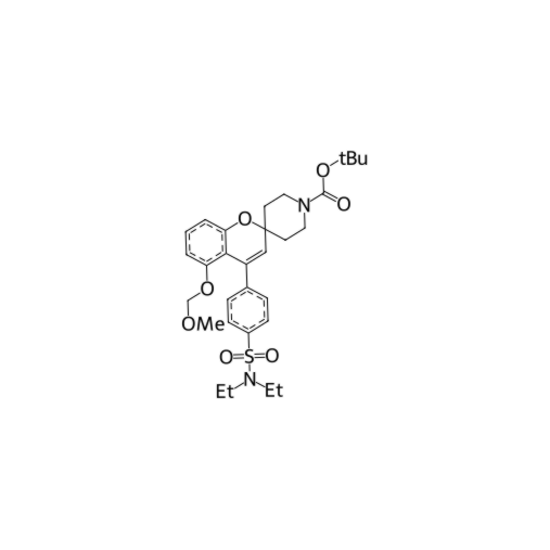 CCN(CC)S(=O)(=O)c1ccc(C2=CC3(CCN(C(=O)OC(C)(C)C)CC3)Oc3cccc(OCOC)c32)cc1